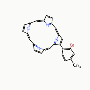 Cc1ccc(C2=CC3=CC4=NC(=CC5=NC(=CC6=NC(=CC2=N3)C=C6)C=C5)C=C4)c(Br)c1